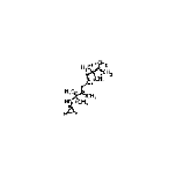 CC(C)C(C)(C)COCC(C)C(C)(C)NC1CC1